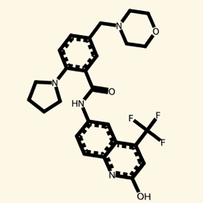 O=C(Nc1ccc2nc(O)cc(C(F)(F)F)c2c1)c1cc(CN2CCOCC2)ccc1N1CCCC1